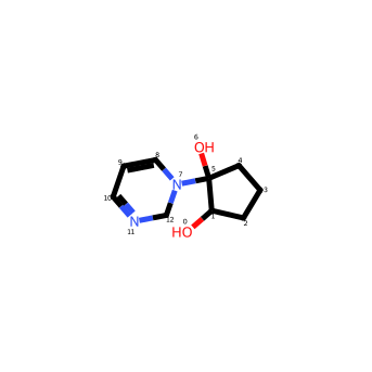 OC1CCCC1(O)N1C=CC=NC1